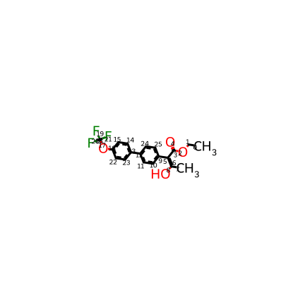 CCOC(=O)C(=C(C)O)c1ccc(-c2ccc(OC(F)(F)F)cc2)cc1